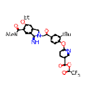 CCOc1cc2c(cc1C(=O)NC)C(=N)N(CC(=O)c1ccc(Oc3ccc(C(=O)OC(=O)C(F)(F)F)cn3)c(C(C)(C)C)c1)C2